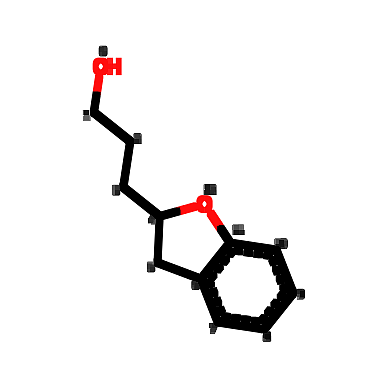 OCCCC1Cc2ccccc2O1